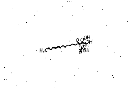 CCCCCCCCCCCCCC(=O)C(OP(=O)(O)O)[C@H](CO)OO